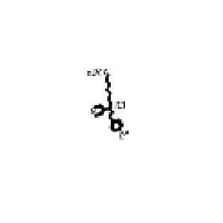 CCCCCCCCCCCCCCCCCC(/C=C/c1ccc(N(C)C)cc1)c1ccncc1.Cl